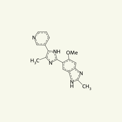 COc1cc2nc(C)[nH]c2cc1-c1nc(C)c(-c2cccnc2)[nH]1